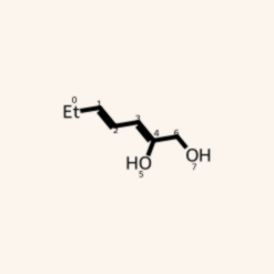 CCC=CC=C(O)CO